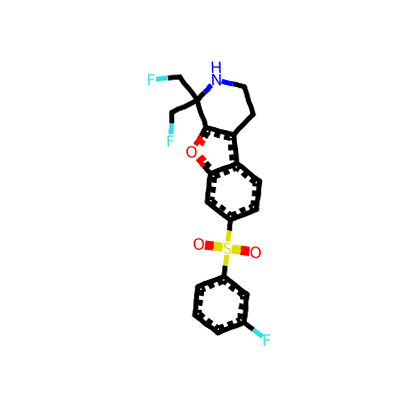 O=S(=O)(c1cccc(F)c1)c1ccc2c3c(oc2c1)C(CF)(CF)NCC3